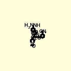 CC(=O)N1CCC(Oc2c(F)c(Oc3cccc(C(=O)N(C)C)c3)nc(Oc3cc(C(=N)N)ccc3O)c2F)CC1